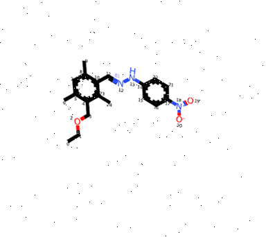 CCOCc1c(C)cc(C)c(/C=N/Nc2ccc([N+](=O)[O-])cc2)c1C